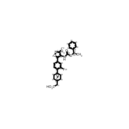 Cc1noc(-c2ccc(C34CCC(CC(=O)O)(CC3)CO4)c(F)c2)c1NC(=O)O[C@H](C)c1ccccc1